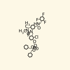 C[C@H]1c2ccc(C(=O)NCc3c(F)cc(F)cc3F)cc2N(Cc2c(F)ccc(OCOP(=O)(OCc3ccccc3)OCc3ccccc3)c2Cl)C(=O)N1C